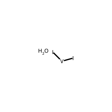 O.[I][V][I]